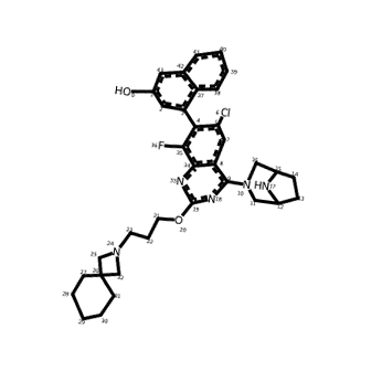 Oc1cc(-c2c(Cl)cc3c(N4CC5CCC(C4)N5)nc(OCCCN4CC5(CCCCC5)C4)nc3c2F)c2ccccc2c1